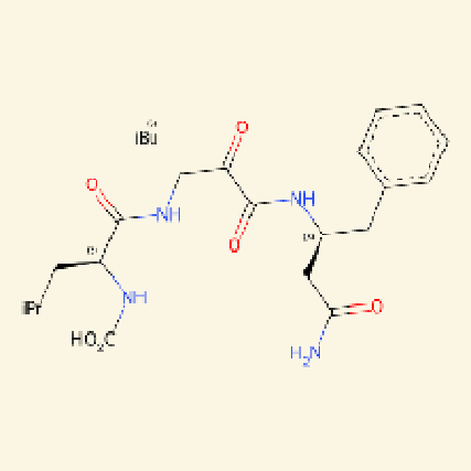 CC[C@H](C)C(NC(=O)[C@H](CC(C)C)NC(=O)O)C(=O)C(=O)N[C@H](CC(N)=O)Cc1ccccc1